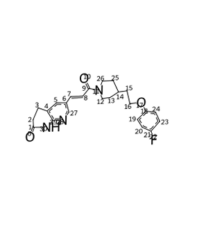 O=C1CCc2cc(/C=C/C(=O)N3CCC(CCOc4ccc(F)cc4)CC3)cnc2N1